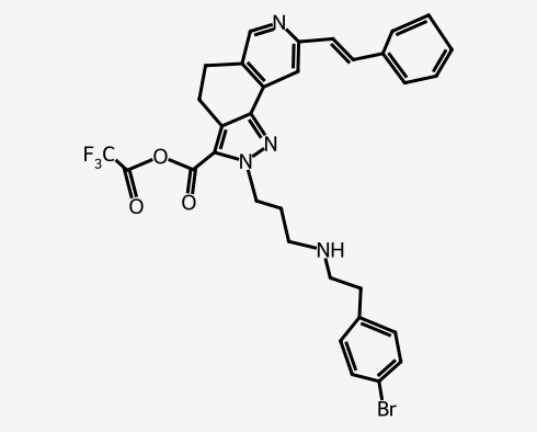 O=C(OC(=O)C(F)(F)F)c1c2c(nn1CCCNCCc1ccc(Br)cc1)-c1cc(C=Cc3ccccc3)ncc1CC2